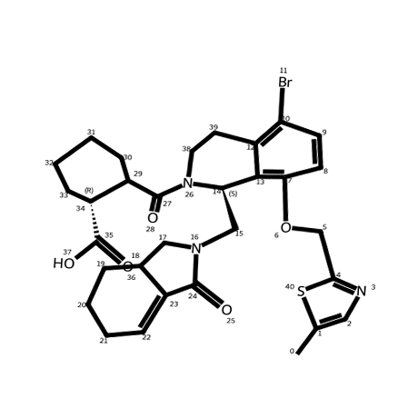 Cc1cnc(COc2ccc(Br)c3c2[C@@H](CN2CC4CCCC=C4C2=O)N(C(=O)C2CCCC[C@H]2C(=O)O)CC3)s1